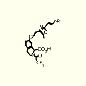 CCCC=Cc1nc(CCOc2ccc3c(c2)C(C(=O)O)N(C(=O)CC(F)(F)F)CC3)c(C)o1